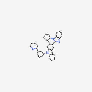 c1ccc(-c2cccc(-n3c4ccccc4c4cc5c(cc43)c3ccccc3n3c4ccccc4nc53)c2)nc1